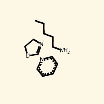 C1=NCCO1.CCCCCN.c1ccncc1